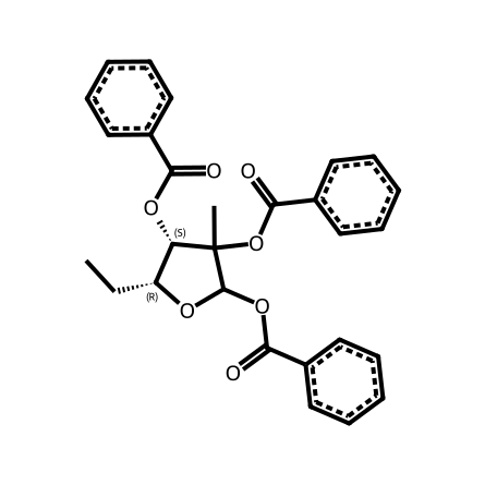 CC[C@H]1OC(OC(=O)c2ccccc2)C(C)(OC(=O)c2ccccc2)[C@H]1OC(=O)c1ccccc1